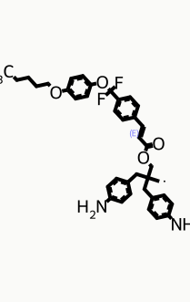 [CH2]C(COC(=O)/C=C/c1ccc(C(F)(F)Oc2ccc(OCCCCC(F)(F)F)cc2)cc1)(Cc1ccc(N)cc1)Cc1ccc(N)cc1